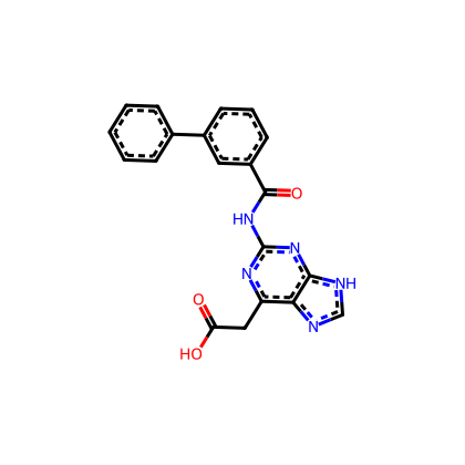 O=C(O)Cc1nc(NC(=O)c2cccc(-c3ccccc3)c2)nc2[nH]cnc12